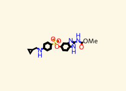 COC(=O)Nc1nc2cc(OS(=O)(=O)c3ccc(NCC4CC4)cc3)ccc2[nH]1